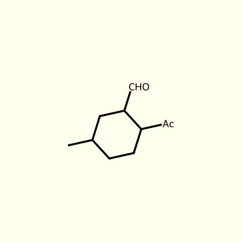 CC(=O)C1CCC(C)CC1C=O